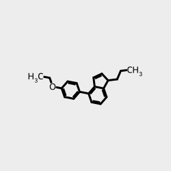 CCCC1C=Cc2c(-c3ccc(OCC)cc3)cccc21